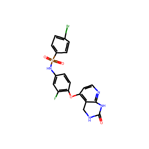 O=C1NCc2c(Oc3ccc(NS(=O)(=O)c4ccc(Br)cc4)cc3F)ccnc2N1